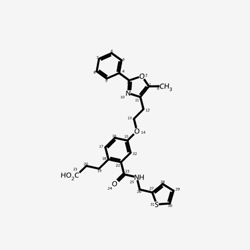 Cc1oc(-c2ccccc2)nc1CCOc1ccc(CCC(=O)O)c(C(=O)NCc2cccs2)c1